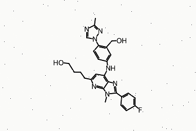 Cc1ncn(-c2ccc(Nc3cc(CCCCO)nc4c3nc(-c3ccc(F)cc3)n4C)cc2CO)n1